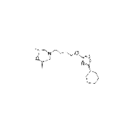 CC1CN(CCCCOc2ccn(C3CCCCC3)n2)CC(C)O1